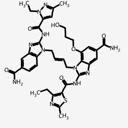 CCc1nc(C)sc1C(=O)Nc1nc2cc(C(N)=O)cc(OCCCO)c2n1CC=CCn1c(NC(=O)c2cc(C)nn2CC)nc2cc(C(N)=O)ccc21